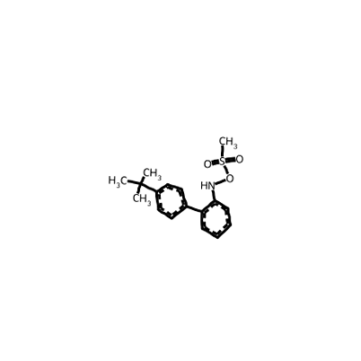 CC(C)(C)c1ccc(-c2ccccc2NOS(C)(=O)=O)cc1